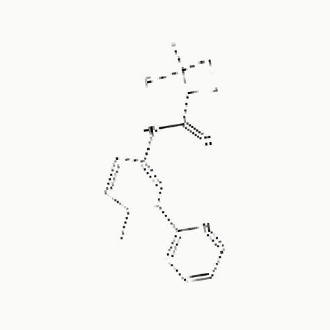 Cc1ccc(NC(=O)C2CCC2(F)F)cc1-c1ccccn1